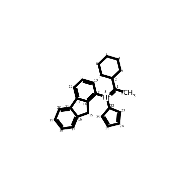 C[C](C1CCCCC1)=[Hf]([c]1cccc2c1Cc1ccccc1-2)[CH]1C=CC=C1